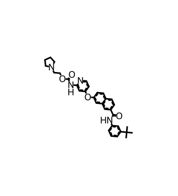 CC(C)(C)c1cccc(NC(=O)c2ccc3ccc(Oc4ccnc(NC(=O)OCCN5CCCC5)c4)cc3c2)c1